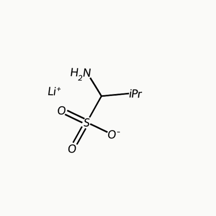 CC(C)C(N)S(=O)(=O)[O-].[Li+]